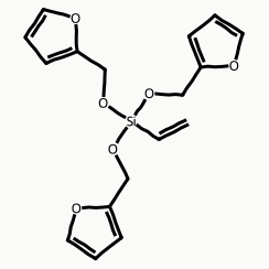 C=C[Si](OCc1ccco1)(OCc1ccco1)OCc1ccco1